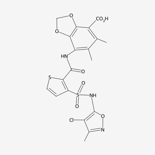 Cc1noc(NS(=O)(=O)c2ccsc2C(=O)Nc2c(C)c(C)c(C(=O)O)c3c2OCO3)c1Cl